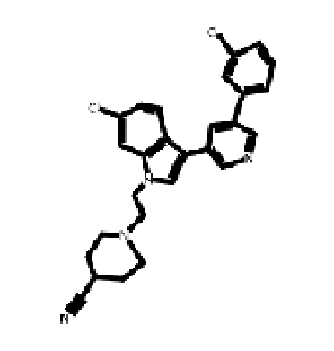 N#CC1CCN(CCn2cc(-c3cncc(-c4cccc(Cl)c4)c3)c3ccc(Cl)cc32)CC1